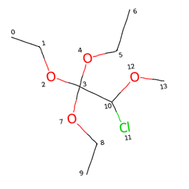 CCOC(OCC)(OCC)C(Cl)OC